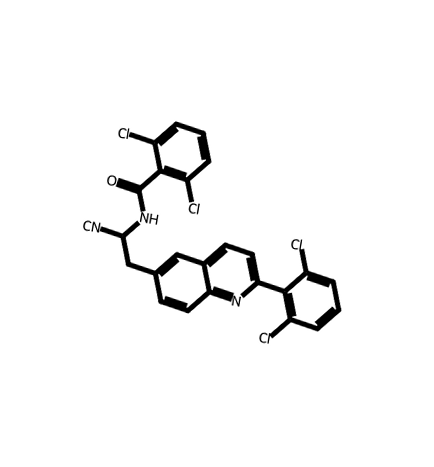 [C-]#[N+]C(Cc1ccc2nc(-c3c(Cl)cccc3Cl)ccc2c1)NC(=O)c1c(Cl)cccc1Cl